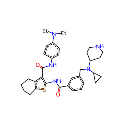 CCN(CC)c1ccc(NC(=O)c2c(NC(=O)c3cccc(CN(C4CCNCC4)C4CC4)c3)sc3c2CCCC3)cc1